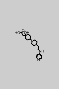 O=C(O)CC1(O)CCC(N2CCC(CCNc3ccncc3)CC2)CC1